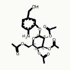 CC(=O)OC[C@H]1O[C@@H](Oc2cc(CO)ccc2N)[C@H](OC(C)=O)[C@@H](OC(C)=O)[C@H]1OC(C)=O